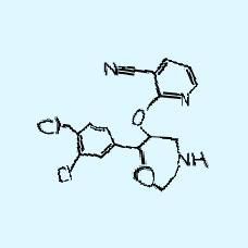 N#Cc1cccnc1OC1CNCCOC1c1ccc(Cl)c(Cl)c1